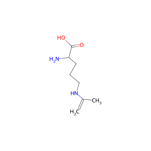 C=C(C)NCCCC(N)C(=O)O